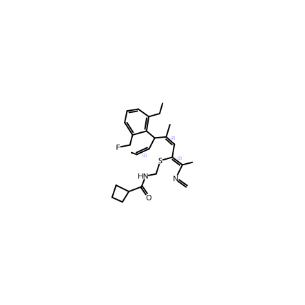 C=N/C(C)=C(/C=C(/C)C(/C=C\C)c1c(CC)cccc1CF)SCNC(=O)C1CCC1